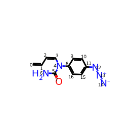 C=C/C=C\N(C(N)=O)c1ccc(N=[N+]=[N-])cc1